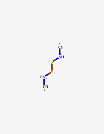 N#CNSSNC#N